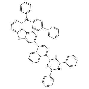 c1ccc(C2=NC(c3ccc(-c4ccc5c(c4)oc4cccc(N(c6ccccc6)c6ccc(-c7ccccc7)cc6)c45)c4ccccc34)NC(c3ccccc3)N2)cc1